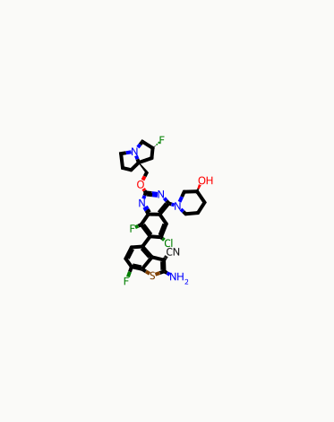 N#Cc1c(N)sc2c(F)ccc(-c3c(Cl)cc4c(N5CCC[C@H](O)C5)nc(OC[C@@]56CCCN5C[C@H](F)C6)nc4c3F)c12